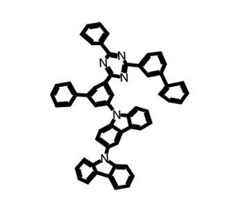 c1ccc(-c2cccc(-c3nc(-c4ccccc4)nc(-c4cc(-c5ccccc5)cc(-n5c6ccccc6c6cc(-n7c8ccccc8c8ccccc87)ccc65)c4)n3)c2)cc1